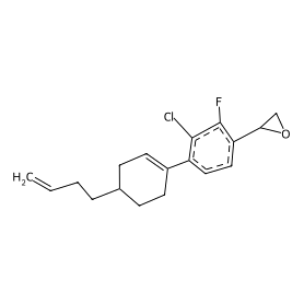 C=CCCC1CC=C(c2ccc(C3CO3)c(F)c2Cl)CC1